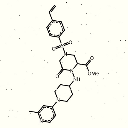 C=Cc1ccc(S(=O)(=O)N2CC(=O)N(NC3CCN(c4ccnc(C)c4)CC3)C(C(=O)OC)C2)cc1